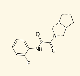 O=C(Nc1ccccc1F)C(=O)N1CC2CCCC2C1